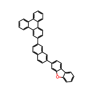 c1ccc2c(c1)oc1cc(-c3ccc4ccc(-c5ccc6c7ccccc7c7ccccc7c6c5)cc4c3)ccc12